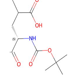 CC(C[C@@H]([C]=O)NC(=O)OC(C)(C)C)C(=O)O